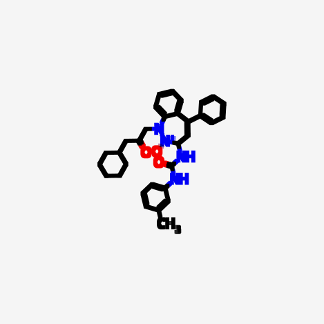 Cc1cccc(NC(=O)NC2C=C(c3ccccc3)c3ccccc3N(CC(=O)CC3CCCCC3)[N+]2=O)c1